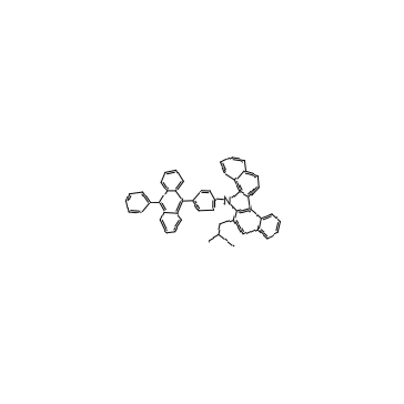 CC(C)Cc1cc2ccccc2c2c3ccc4ccccc4c3n(-c3ccc(-c4c5ccccc5c(-c5ccccc5)c5ccccc45)cc3)c12